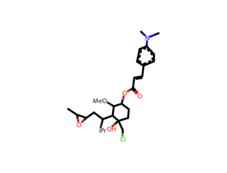 COC1C(OC(=O)/C=C/c2ccc(N(C)C)cc2)CCC(O)(CCl)C1C(CC1OC1C)C(C)C